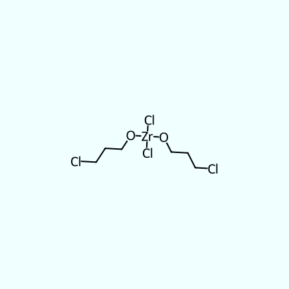 ClCCC[O][Zr]([Cl])([Cl])[O]CCCCl